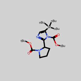 CCC[CH2][Sn]([CH2]CCC)([CH2]CCC)[c]1cnc(C2CCCN2C(=O)OC(C)(C)C)n1C(=O)OC(C)(C)C